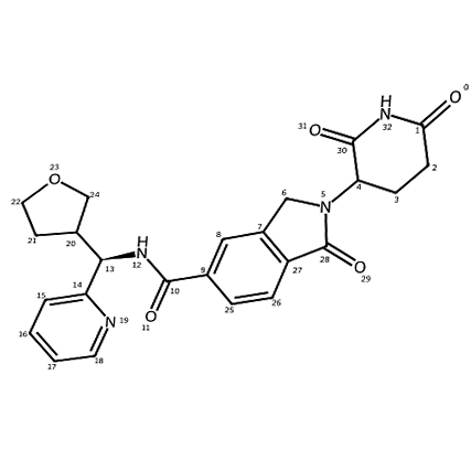 O=C1CCC(N2Cc3cc(C(=O)N[C@@H](c4ccccn4)C4CCOC4)ccc3C2=O)C(=O)N1